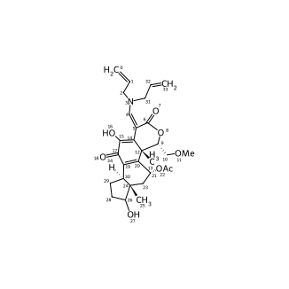 C=CCN(/C=C1\C(=O)O[C@H](COC)[C@@]2(C)C1=C(O)C(=O)C1=C2[C@H](OC(C)=O)C[C@]2(C)C(O)CC[C@@H]12)CC=C